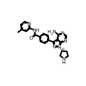 Cc1ccnc(NC(=O)c2ccc(-c3nn([C@@H]4CCNC4)c4ncnc(N)c34)cc2)c1